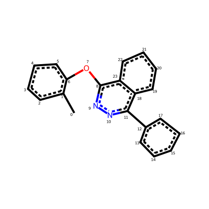 Cc1ccccc1Oc1nnc(-c2ccccc2)c2ccccc12